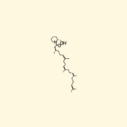 CC(C)=CCCC(C)=CCCC(C)=CCCC(C)=CCCC(C)=CC(=O)N1CCCCC1CO